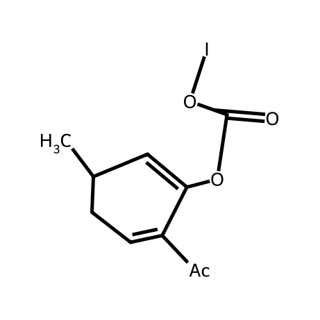 CC(=O)C1=CCC(C)C=C1OC(=O)OI